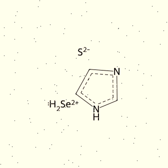 [S-2].[SeH2+2].c1c[nH]cn1